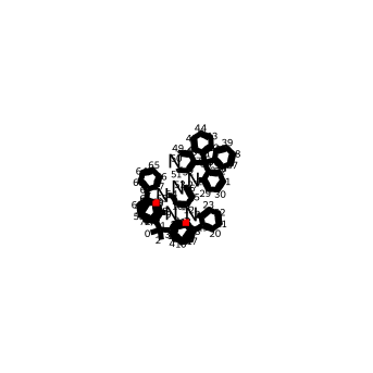 CC1(C)c2ccccc2N(c2c(-n3c4ccccc4c4ccccc43)cc(N3c4ccccc4C(c4ccccc4)(c4ccccc4)c4ccncc43)nc2-n2c3ccccc3c3ccccc32)c2ccccc21